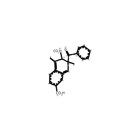 CC1=c2ccc(C(=O)O)cc2=CC(C)(C(=O)c2ccccc2)C1C(=O)O